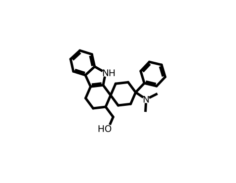 CN(C)C1(c2ccccc2)CCC2(CC1)c1[nH]c3ccccc3c1CCC2CO